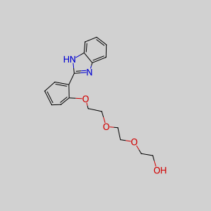 OCCOCCOCCOc1ccccc1-c1nc2ccccc2[nH]1